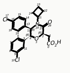 O=C(O)C[C@H]1O[C@H](c2cccc(Cl)c2)[C@@H](c2ccc(Cl)cc2)N(C2CCC2)C1=O